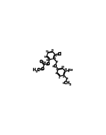 CCc1ccc(OCc2c(Cl)cccc2OC(=O)OC)cc1F